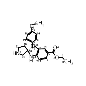 CCOC(=O)c1cnc(N[C@]2(Cc3ccc(OC)cc3)CCNC2)c(Cl)c1